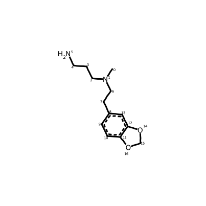 CN(CCCN)CCc1ccc2c(c1)OCO2